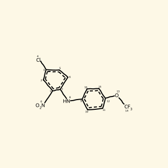 O=[N+]([O-])c1cc(Cl)ccc1Nc1ccc(OC(F)(F)F)cc1